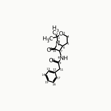 CC1(C)OCCC2C(NC(=O)Cc3ccccc3)C(=O)N21